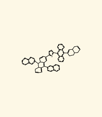 C1=CCC2C(=C1)C(c1ccc3ccccc3c1)=C1C=C(c3ccc(-c4c5ccccc5c(C5=CC6CC=CCC6CC5)c5ccccc45)s3)C=CC1C2c1ccc2ccccc2c1